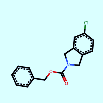 O=C(OCc1ccccc1)N1Cc2ccc(Cl)cc2C1